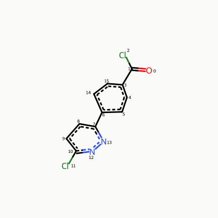 O=C(Cl)c1ccc(-c2ccc(Cl)nn2)cc1